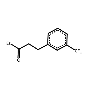 CCC(=O)CCc1cccc(C(F)(F)F)c1